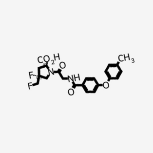 Cc1ccc(Oc2ccc(C(=O)NCC(=O)N3C[C@@](F)(CF)C[C@H]3C(=O)O)cc2)cc1